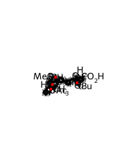 CCn1c(-c2cc(N3CCN4CCCC4C3)cnc2[C@H](C)OC)c(CC(C)(C)COC(C)=O)c2cc(-c3cccc(CC(NC(=O)OC(C)(C)C)C(=O)N4CCCC(C(=O)O)N4)c3)ccc21